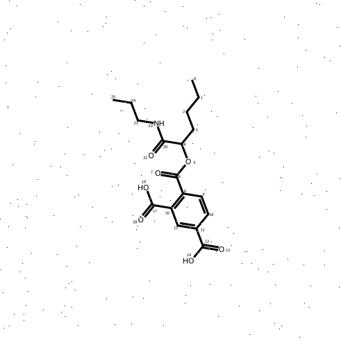 CCCCC(OC(=O)c1ccc(C(=O)O)cc1C(=O)O)C(=O)NCCC